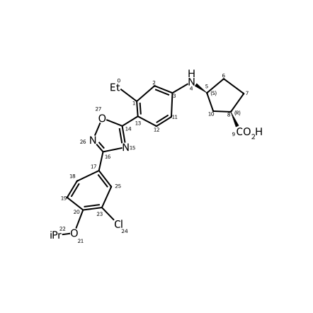 CCc1cc(N[C@H]2CC[C@@H](C(=O)O)C2)ccc1-c1nc(-c2ccc(OC(C)C)c(Cl)c2)no1